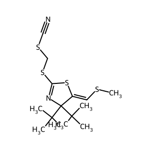 CSC=C1SC(SCSC#N)=NC1(C(C)(C)C)C(C)(C)C